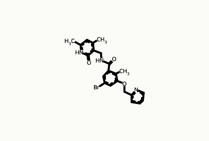 Cc1cc(C)c(CNC(=O)c2cc(Br)cc(OCc3ccccn3)c2C)c(=O)[nH]1